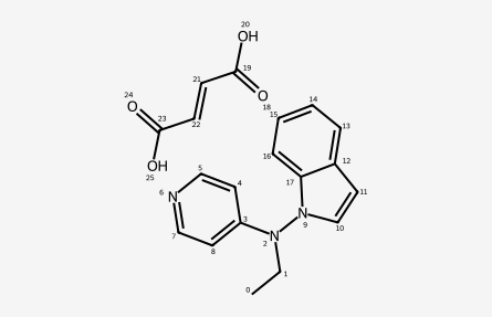 CCN(c1ccncc1)n1ccc2ccccc21.O=C(O)C=CC(=O)O